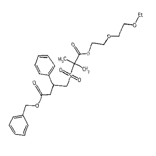 CCOCCOCCOC(=O)C(C)(C)S(=O)(=O)CC(CC(=O)OCc1ccccc1)c1ccccc1